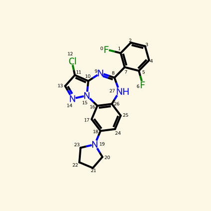 Fc1cccc(F)c1C1=Nc2c(Cl)cnn2-c2cc(N3CCCC3)ccc2N1